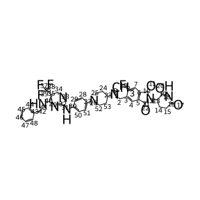 CN(Cc1cc2c(cc1F)C(=O)N(C1CCC(=O)NC1=O)C2=O)C1CCN(c2ccc(Nc3ncc(C(F)(F)F)c(NCc4ccccc4)n3)cc2)CC1